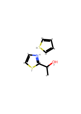 CC(O)c1nccs1.c1ccsc1